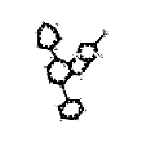 Brc1cn2c(n1)sc1c(-c3ccccc3)ccc(-c3ccccc3)c12